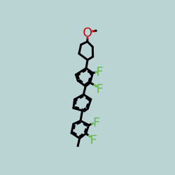 COC1CCC(c2ccc(-c3ccc(-c4ccc(C)c(F)c4F)cc3)c(F)c2F)CC1